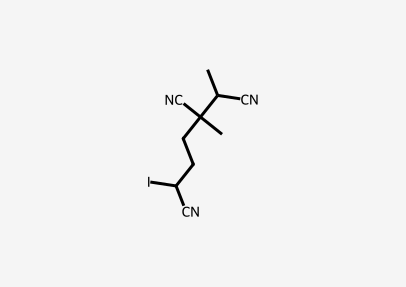 CC(C#N)C(C)(C#N)CCC(I)C#N